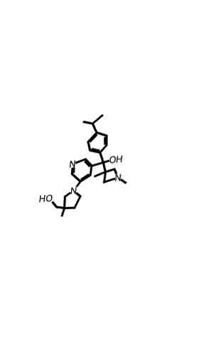 CC(C)c1ccc(C(O)(c2cncc(N3CCC(C)(CO)C3)c2)C2(C)CN(C)C2)cc1